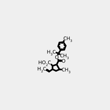 C=CC1CC(C)C(C(=O)OC(C)(C)c2ccc(C)cc2)C1C(=O)O